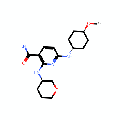 CCO[C@H]1CC[C@H](Nc2ccc(C(N)=O)c(N[C@@H]3CCCOC3)n2)CC1